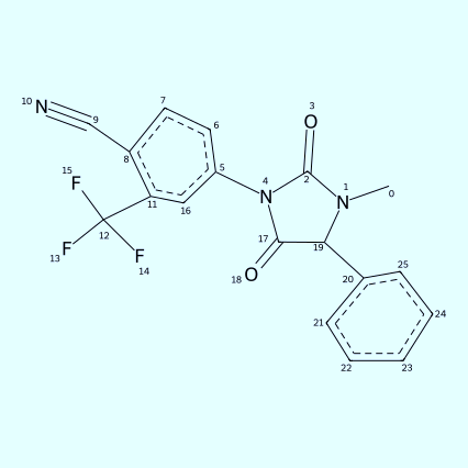 CN1C(=O)N(c2ccc(C#N)c(C(F)(F)F)c2)C(=O)C1c1ccccc1